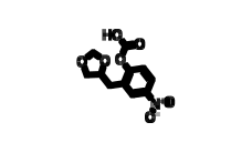 O=C(O)Oc1ccc([N+](=O)[O-])cc1CC1COCO1